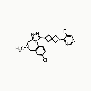 CN1Cc2cc(Cl)ccc2-n2c(nnc2C2CC3(C2)CN(c2ncncc2F)C3)C1